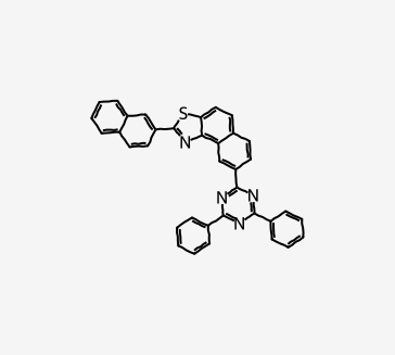 c1ccc(-c2nc(-c3ccccc3)nc(-c3ccc4ccc5sc(-c6ccc7ccccc7c6)nc5c4c3)n2)cc1